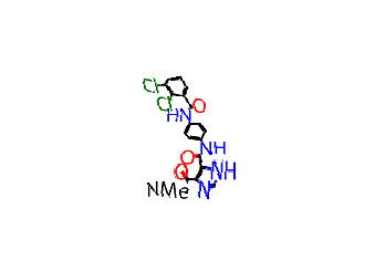 CNC(=O)c1nc[nH]c1C(=O)Nc1ccc(NC(=O)c2cccc(Cl)c2Cl)cc1